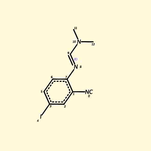 [C-]#[N+]c1cc(I)ccc1/N=C/N(C)C